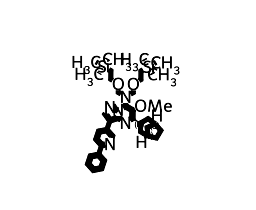 COc1c([C@H]2C[C@@H]3CC[C@@H](C3)C2)nc2c(-c3ccc(-c4ccccc4)nc3)cnn2c1N(COCC[Si](C)(C)C)COCC[Si](C)(C)C